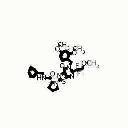 COCC(F)(F)c1nc2sc(N3CCC[C@@H]3C(=O)NCc3ccccc3)nc2c(=O)n1Cc1ccc(OC)cc1OC